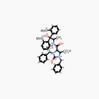 COc1ccccc1C(O)(c1ccccc1OC)C(C)N(C)C(=O)C1C(C(=O)O)N(Cc2ccccc2)C(=O)N1Cc1ccccc1